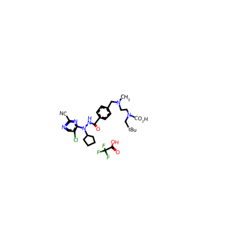 CN(CCN(CC(C)(C)C)C(=O)O)Cc1ccc(C(=O)NN(c2nc(C#N)ncc2Cl)C2CCCC2)cc1.O=C(O)C(F)(F)F